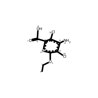 CCOc1nc(C(=O)O)c(Cl)c(N)c1Cl